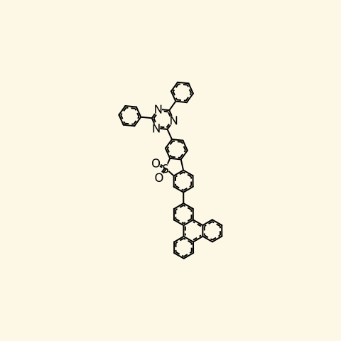 O=S1(=O)c2cc(-c3ccc4c5ccccc5c5ccccc5c4c3)ccc2-c2ccc(-c3nc(-c4ccccc4)nc(-c4ccccc4)n3)cc21